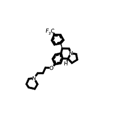 FC(F)(F)c1ccc([C@H]2CN3CCC[C@@H]3c3cc(OCCCN4CCCCC4)ccc32)cc1